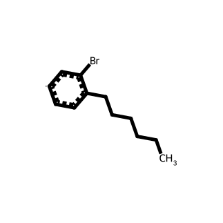 CCCCCCc1cc[c]cc1Br